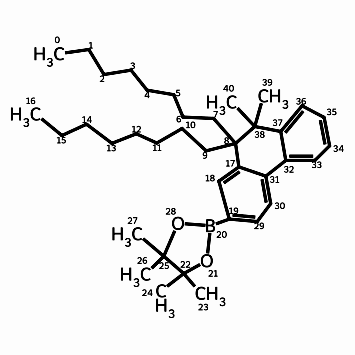 CCCCCCCCC1(CCCCCCCC)c2cc(B3OC(C)(C)C(C)(C)O3)ccc2-c2ccccc2C1(C)C